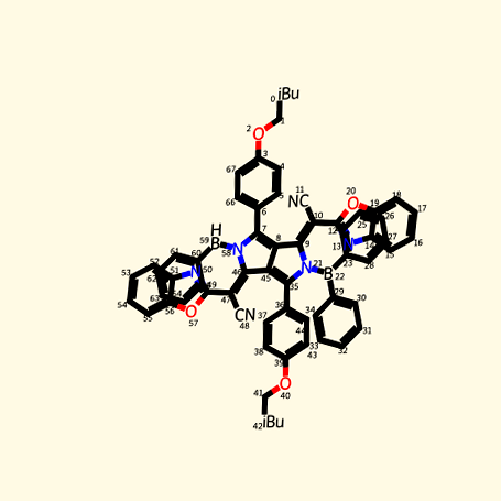 CCC(C)COc1ccc(-c2c3/c(=C(\C#N)c4nc5ccccc5o4)n(B(c4ccccc4)c4ccccc4)c(-c4ccc(OCC(C)CC)cc4)c3/c(=C(\C#N)c3nc4ccccc4o3)n2Bc2ccccc2)cc1